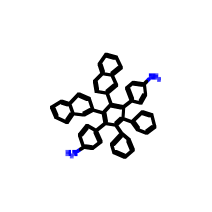 Nc1ccc(-c2c(-c3ccccc3)c(-c3ccccc3)c(-c3ccc(N)cc3)c(-c3ccc4ccccc4c3)c2-c2ccc3ccccc3c2)cc1